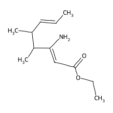 CC=CC(C)C(C)C(N)=CC(=O)OCC